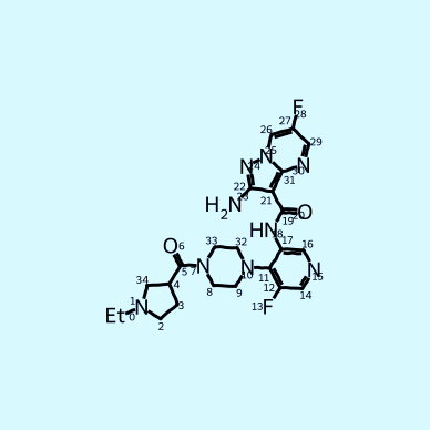 CCN1CCC(C(=O)N2CCN(c3c(F)cncc3NC(=O)c3c(N)nn4cc(F)cnc34)CC2)C1